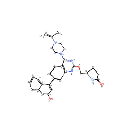 C=C(C)N1CCN(c2nc(OCC3CCC(=O)N3)nc3c2CCC(c2cc(O)cc4ccccc24)C3)CC1